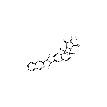 CN1C(=O)C2C(C1=O)[C@@H]1C=Cc3cc4c(cc3[C@H]21)sc1c2cc3ccccc3cc2sc41